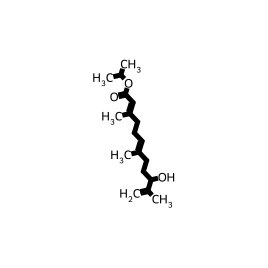 C=C(C)C(O)CC/C(C)=C/CC/C(C)=C/C(=O)OC(C)C